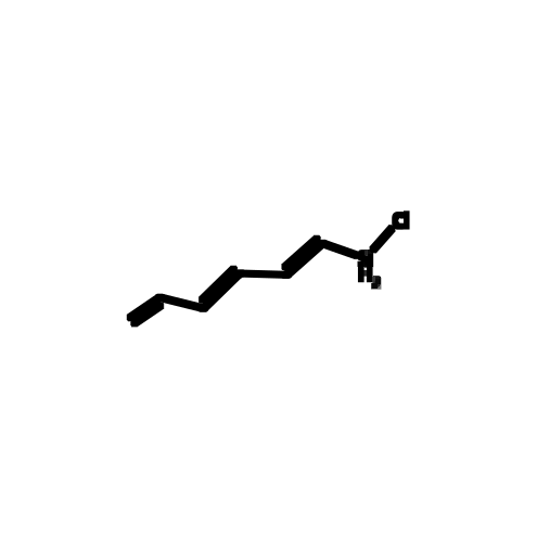 C=CC=CC=C[SiH2]Cl